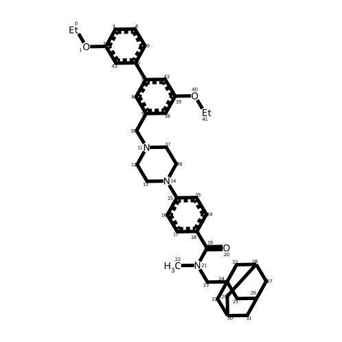 CCOc1cccc(-c2cc(CN3CCN(c4ccc(C(=O)N(C)CC56CC7CC(CC(C7)C5)C6)cc4)CC3)cc(OCC)c2)c1